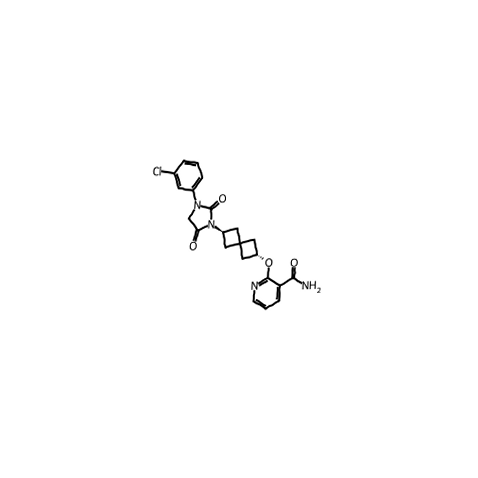 NC(=O)c1cccnc1O[C@H]1CC2(C1)C[C@H](N1C(=O)CN(c3cccc(Cl)c3)C1=O)C2